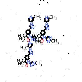 Cc1cc(-n2cnc(-c3ccc4c(c3)N(c3ccn(C)n3)C(=O)C4(C)C)c2)ccn1.Cc1cc(-n2cnc(-c3ccc4c(c3)N(c3cnc(C)nc3)C(=O)C4(C)C)c2)ccn1.Cc1cnccc1-n1cnc(-c2ccc3c(c2)N(c2cn(C)cn2)C(=O)C3(C)C)c1